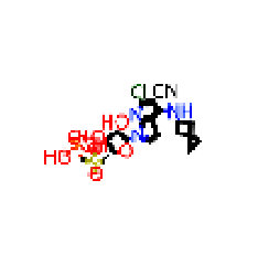 N#Cc1c(Cl)nc2c(ccn2[C@@H]2O[C@H](CS(=O)(=O)CP(=O)(O)O)[C@@H](O)[C@H]2O)c1NC1CC2(CC2)C1